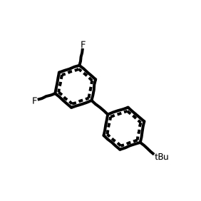 CC(C)(C)c1ccc(-c2cc(F)cc(F)c2)cc1